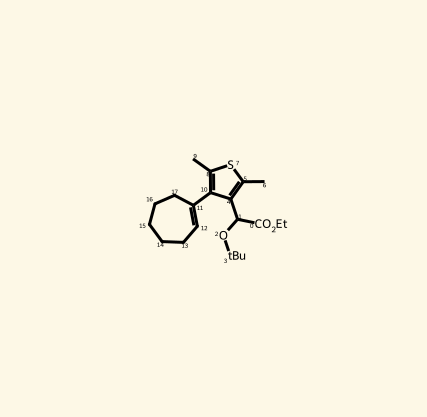 CCOC(=O)C(OC(C)(C)C)c1c(C)sc(C)c1C1=CCCCCC1